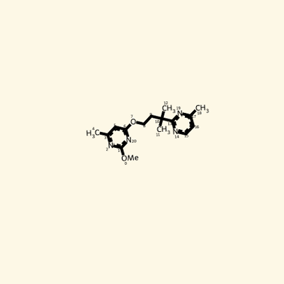 COc1nc(C)cc(OCCC(C)(C)c2nccc(C)n2)n1